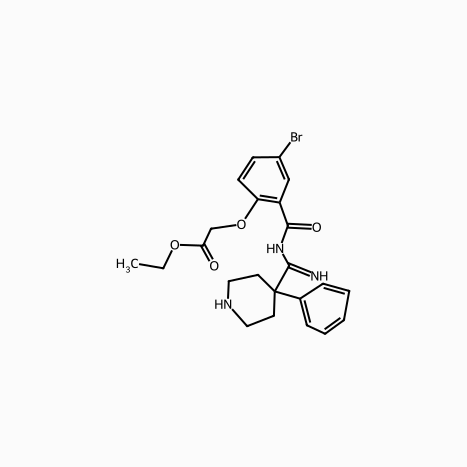 CCOC(=O)COc1ccc(Br)cc1C(=O)NC(=N)C1(c2ccccc2)CCNCC1